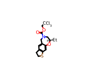 CC[C@@H]1CN(C(=O)OCC(Cl)(Cl)Cl)Cc2cc3c(cc2O1)SCC3